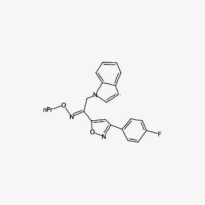 CCCO/N=C(\Cn1c[c]c2ccccc21)c1cc(-c2ccc(F)cc2)no1